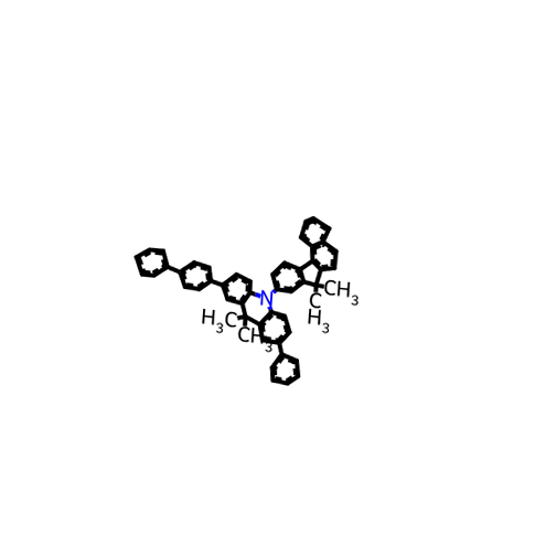 CC1(C)c2cc(-c3ccccc3)ccc2N(c2ccc3c(c2)C(C)(C)c2ccc4ccccc4c2-3)c2ccc(-c3ccc(-c4ccccc4)cc3)cc21